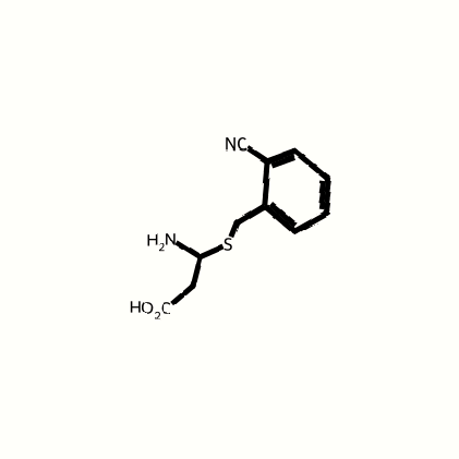 N#Cc1ccccc1CSC(N)CC(=O)O